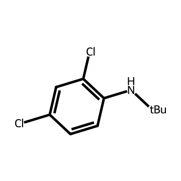 CC(C)(C)Nc1ccc(Cl)cc1Cl